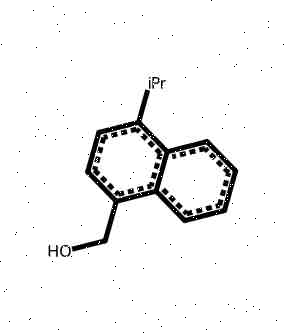 CC(C)c1ccc(CO)c2ccccc12